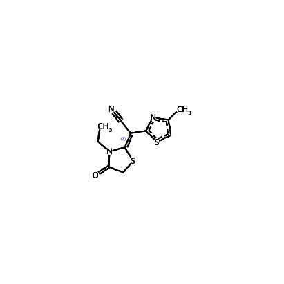 CCN1C(=O)CS/C1=C(/C#N)c1nc(C)cs1